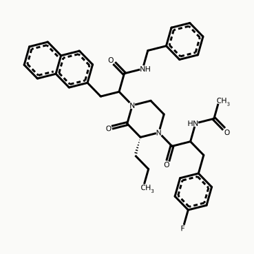 CCC[C@@H]1C(=O)N(C(Cc2ccc3ccccc3c2)C(=O)NCc2ccccc2)CCN1C(=O)C(Cc1ccc(F)cc1)NC(C)=O